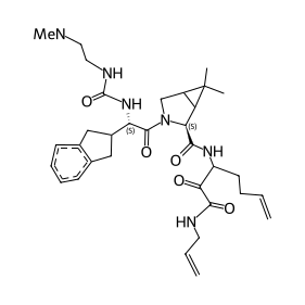 C=CCCC(NC(=O)[C@@H]1C2C(CN1C(=O)[C@@H](NC(=O)NCCNC)C1Cc3ccccc3C1)C2(C)C)C(=O)C(=O)NCC=C